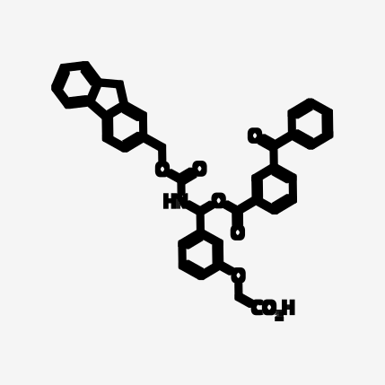 O=C(O)COc1cccc(C(NC(=O)OCc2ccc3c(c2)Cc2ccccc2-3)OC(=O)c2cccc(C(=O)c3ccccc3)c2)c1